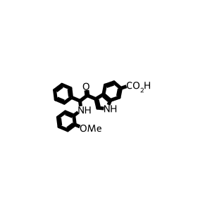 COc1ccccc1NC(C(=O)c1c[nH]c2cc(C(=O)O)ccc12)c1ccccc1